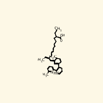 C=c1ccc(C2=C(c3cccc(C)n3)NC=CC2)c/c1=C/C(=C\C)C/C=C/CCCCCC(CCC)C(=O)O